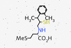 CSCC[C@H](NCC(S)C(C)c1ccccc1C)C(=O)O